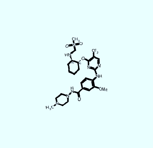 COc1cc(C(=O)NN2CCN(C)CC2)ccc1Nc1ncc(C(F)(F)F)c(O[C@@H]2CCCC[C@H]2NCS(C)(=O)=O)n1